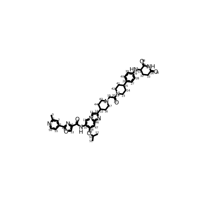 Cc1cc(-c2nc(C(=O)Nc3cn4cc(C5CCN(CC(=O)N6CCC(c7ccc(NC8CCC(=O)NC8=O)cc7)CC6)CC5)nc4cc3OC(C)C)co2)ccn1